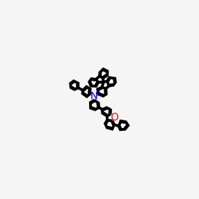 c1ccc(-c2ccc(N(c3cccc(-c4ccc5oc6c(-c7ccccc7)cccc6c5c4)c3)c3ccc4c(c3)C3(c5ccccc5-c5ccccc53)c3ccccc3-4)cc2)cc1